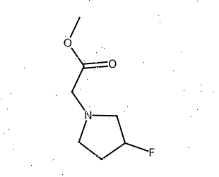 COC(=O)CN1CCC(F)C1